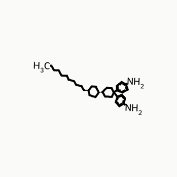 CCCCCCCCCCC[C@H]1CC[C@H](C2CCC(c3ccc(N)cc3)(c3ccc(N)cc3)CC2)CC1